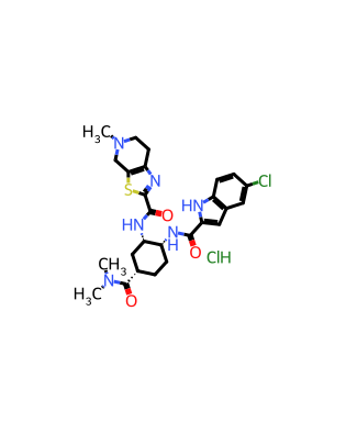 CN1CCc2nc(C(=O)N[C@H]3C[C@@H](C(=O)N(C)C)CC[C@H]3NC(=O)c3cc4cc(Cl)ccc4[nH]3)sc2C1.Cl